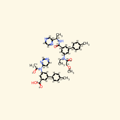 CC(=O)N(c1cc(C(=O)O)cc(-c2ccc(C)cc2)c1)c1ccncn1.CCN(C(=O)COC)c1cc(C(=O)NC(C)c2cnccn2)cc(-c2ccc(C)cc2)c1